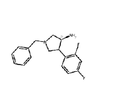 N[C@@H]1CN(Cc2ccccc2)CC1c1ccc(F)cc1F